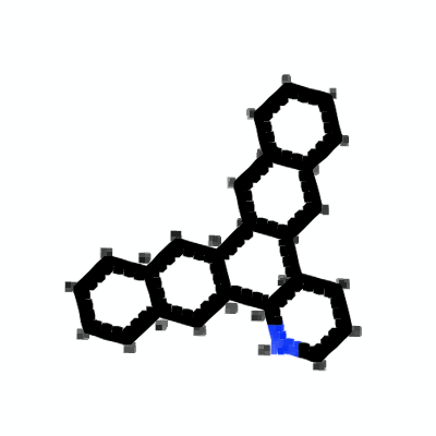 c1ccc2cc3c(cc2c1)c1cc2ccccc2cc1c1ncccc31